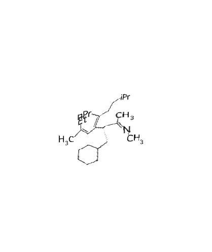 CCC/C(CCC(C)C)=C(\C=C(\C)CC)[C@@H](CC1CCCCC1)/C(C)=N\C